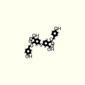 O=C(O)c1cc(Sc2ccc(C(=O)O)c(C(=O)OCc3ccc(O)cc3)c2)ccc1C(=O)OCc1ccc(O)cc1